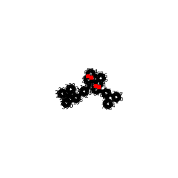 c1ccc(-c2ccc(-c3ccc(N(c4ccc(-c5ccc6c(c5)C(c5ccccc5)(c5ccccc5)c5ccccc5-6)cc4)c4ccccc4-c4cccc5cccc(C6CCCCC6)c45)cc3)cc2-c2ccccc2)cc1